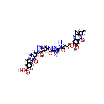 C=C1C[C@H]2C=Nc3cc(OCCCC(=O)Nc4cn(C)c(C(=O)Nc5cc(C(=O)Nc6cc(C(=O)n7ccc8cc(C(=O)O)ccc87)n(C)c6)n(C)c5)n4)c(OC)cc3C(=O)N2C1